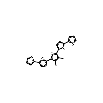 Cc1c(-c2ccc(-c3cccs3)s2)sc(-c2ccc(-c3cccs3)s2)c1C